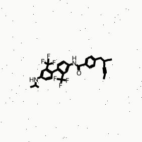 CC#CC(C)Cc1ccc(C(=O)Nc2ccc(-c3ccc(NC(C)C)cc3C(F)(F)F)c(C(F)(F)F)c2)cc1